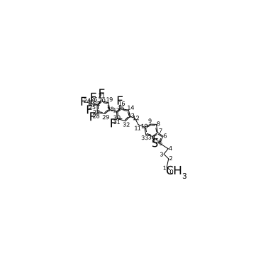 CCCCCc1cc2ccc(CCc3cc(F)c(-c4cc(F)c(C(F)(F)F)c(F)c4)c(F)c3)cc2s1